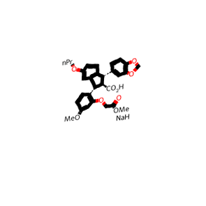 CCCOc1ccc2c(c1)[C@@H](c1ccc(OC)cc1OCC(=O)OC)[C@H](C(=O)O)[C@H]2c1ccc2c(c1)OCO2.[NaH]